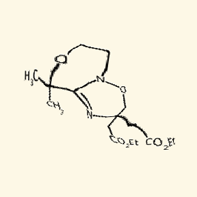 CCOC(=O)CC1(C(=O)OCC)N=C2N(CCOC2(C)C)O1